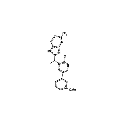 COc1cccc(-c2ccc(=O)n(C(C)c3nc4nc(C(F)(F)F)ccc4[nH]3)n2)c1